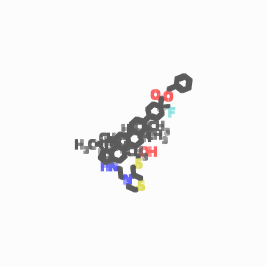 C=C(C)[C@@H]1CC[C@]2(NCCN3CCSCC3CSCO)CC[C@]3(C)[C@H](CC[C@@H]4[C@@]5(C)CC=C(C6=CC[C@@](CF)(C(=O)OCc7ccccc7)CC6)C(C)(C)[C@@H]5CC[C@]43C)[C@@H]12